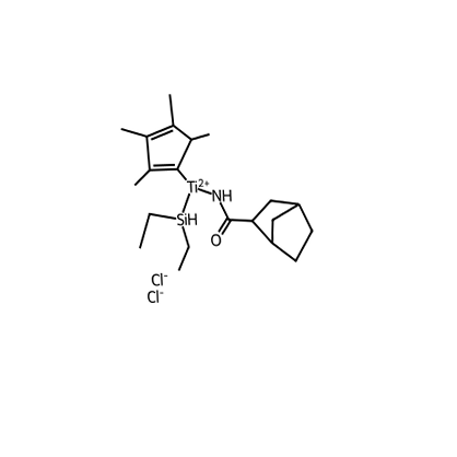 CC[SiH](CC)[Ti+2]([NH]C(=O)C1CC2CCC1C2)[C]1=C(C)C(C)=C(C)C1C.[Cl-].[Cl-]